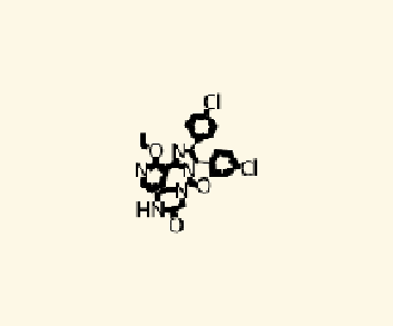 CCOc1ncccc1C1=N[C@@H](c2ccc(Cl)cc2)[C@@H](c2ccc(Cl)cc2)N1C(=O)N1CCNC(=O)C1